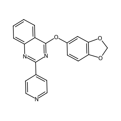 c1ccc2c(Oc3ccc4c(c3)OCO4)nc(-c3ccncc3)nc2c1